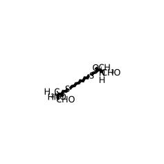 C[C@H](NC=O)C(=O)CCSCCCCCCCCCCSCCC(=O)[C@H](C)NC=O